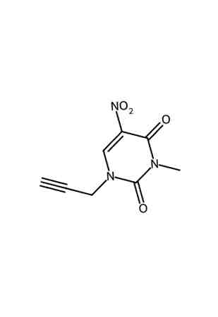 C#CCn1cc([N+](=O)[O-])c(=O)n(C)c1=O